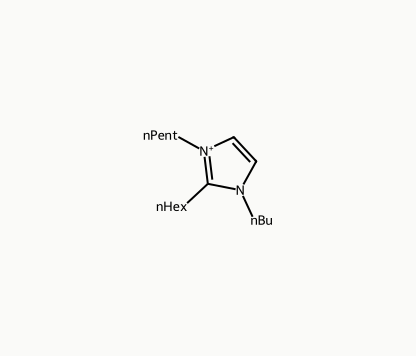 CCCCCCc1n(CCCC)cc[n+]1CCCCC